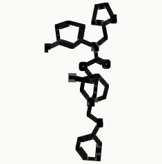 O=C(O[C@H]1C[N+]2(CSc3ccccc3)CCC1CC2)N(Cc1cccs1)c1cccc(F)c1